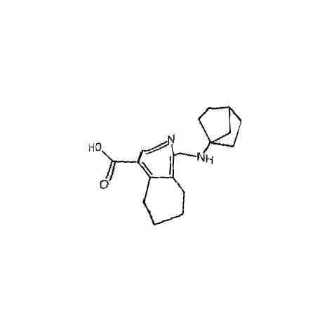 O=C(O)c1cnc(NC23CCC(CC2)C3)c2c1CCCC2